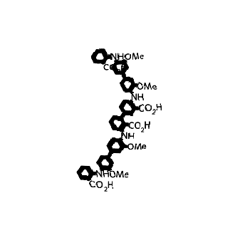 COc1cc(-c2ccc(Nc3ccc(-c4cccc(Nc5ccc(-c6ccc(Nc7ccccc7C(=O)O)c(OC)c6)cc5OC)c4C(=O)O)cc3C(=O)O)c(OC)c2)ccc1Nc1ccccc1C(=O)O